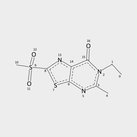 CCn1c(C)nc2sc(S(C)(=O)=O)nc2c1=O